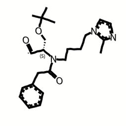 Cc1nccn1CCCCN(C(=O)Cc1ccccc1)[C@H]([C]=O)COC(C)(C)C